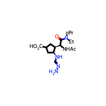 CCCN(CC)C(=O)C(NC(C)=O)[C@@H]1CC(C(=O)O)C[C@@H]1NC=NN